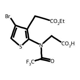 CCOC(=O)Cc1c(Br)csc1N(CC(=O)O)C(=O)C(F)(F)F